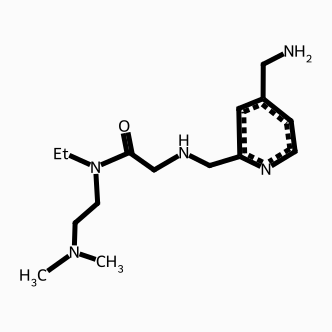 CCN(CCN(C)C)C(=O)CNCc1cc(CN)ccn1